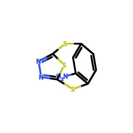 Nc1cc2ccc1Sc1nnc(s1)S2